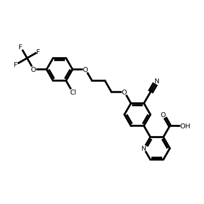 N#Cc1cc(-c2ncccc2C(=O)O)ccc1OCCCOc1ccc(OC(F)(F)F)cc1Cl